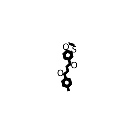 Cc1ccc(C(=O)CCC(=O)c2ccc3c(c2)SCCO3)cc1